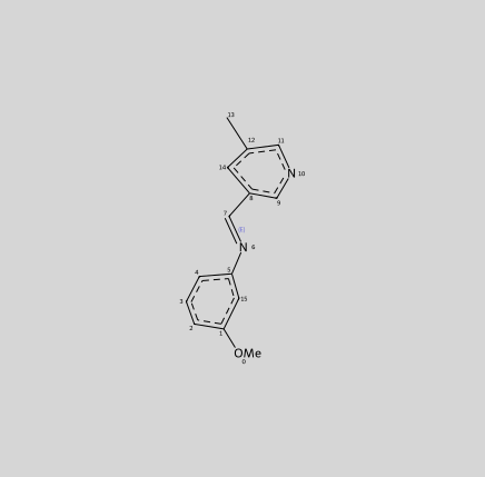 COc1cccc(/N=C/c2cncc(C)c2)c1